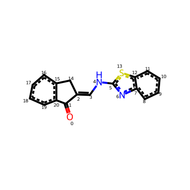 O=C1/C(=C/Nc2nc3ccccc3s2)Cc2ccccc21